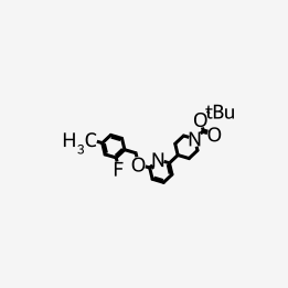 Cc1ccc(COc2cccc(C3CCN(C(=O)OC(C)(C)C)CC3)n2)c(F)c1